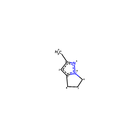 Cc1cc2n(n1)CCC2